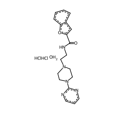 Cl.Cl.O.O=C(NCCN1CCN(c2ncccn2)CC1)c1cc2ccccc2o1